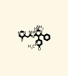 Cn1cc(-c2c(-c3ccccc3)nc(N)[nH]/c2=N\C(=N)Cc2ncncc2F)ccc1=O